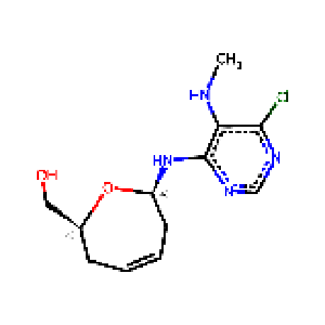 CNc1c(Cl)ncnc1N[C@H]1CC=CC[C@@H](CO)O1